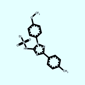 CCS(=O)(=O)Nc1nc(-c2ccc(C)cc2)nn1-c1ccc(OC(F)(F)F)cc1